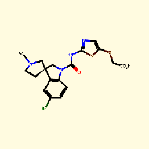 CC(=O)N1CC[C@@]2(C1)CN(C(=O)Nc1ncc(SCC(=O)O)s1)c1ccc(Br)cc12